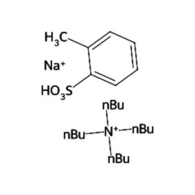 CCCC[N+](CCCC)(CCCC)CCCC.Cc1ccccc1S(=O)(=O)O.[Na+]